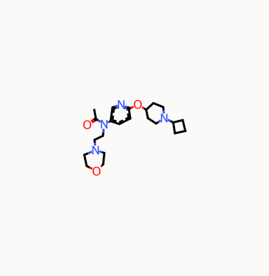 CC(=O)N(CCN1CCOCC1)c1ccc(OC2CCN(C3CCC3)CC2)nc1